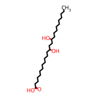 CCCCCCCCCCC(O)CCC(O)CCCCCCCCCCCC(=O)O